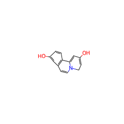 OC1=CCN2C=Cc3cc(O)ccc3C2=C1